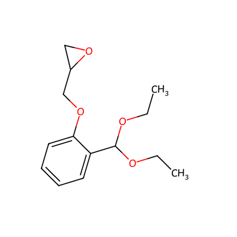 CCOC(OCC)c1ccccc1OCC1CO1